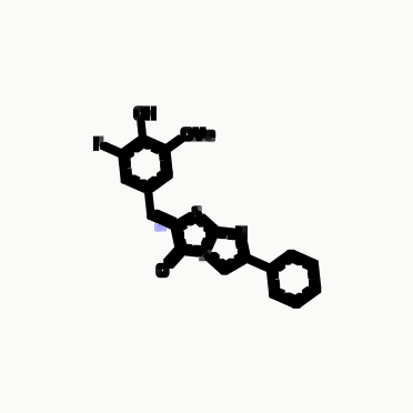 COc1cc(/C=c2\sc3nc(-c4ccccc4)cn3c2=O)cc(F)c1O